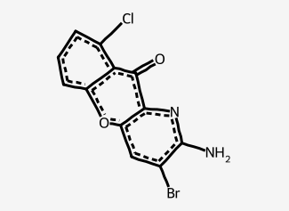 Nc1nc2c(=O)c3c(Cl)cccc3oc2cc1Br